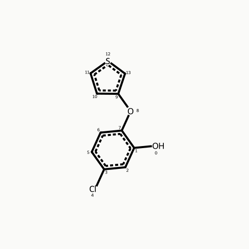 Oc1cc(Cl)ccc1Oc1ccsc1